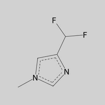 Cn1cnc(C(F)F)c1